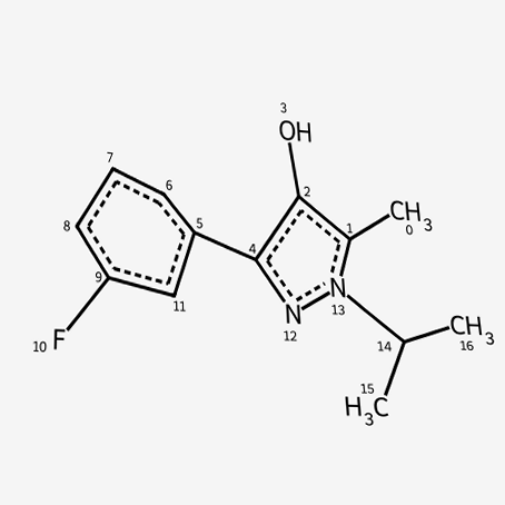 Cc1c(O)c(-c2cccc(F)c2)nn1C(C)C